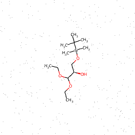 CCOC(OCC)[C@H](O)CO[Si](C)(C)C(C)(C)C